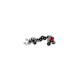 COC(=O)N[C@H](C(=O)N1CCC[C@H]1c1ncc(-c2ccc3c(c2)CCc2cc(-c4cnc([C@@H]5[C@H]6CC[C@H](C6)N5C(=O)[C@@H](c5ccccc5)N5CCOCC5)[nH]4)ccc2-3)[nH]1)C(C)C